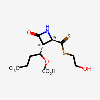 O=C(O)OC(CCC(Cl)(Cl)Cl)[C@@H]1C(=O)N[C@H]1C(=S)SCCO